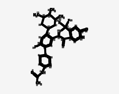 CC(=O)Nc1ccc(-c2cc(NC(=O)c3c[nH]c(=O)cc3C(F)(F)F)c(N3CC(C)N(C)C(C)C3)cc2F)cn1